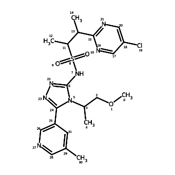 COCC(C)n1c(NS(=O)(=O)C(C)C(C)c2ncc(Cl)cn2)nnc1-c1cncc(C)c1